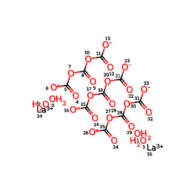 O.O.O.O.O=C([O-])OC(=O)OC(=O)[O-].O=C([O-])OC(=O)OC(=O)[O-].O=C([O-])OC(=O)OC(=O)[O-].[La+3].[La+3]